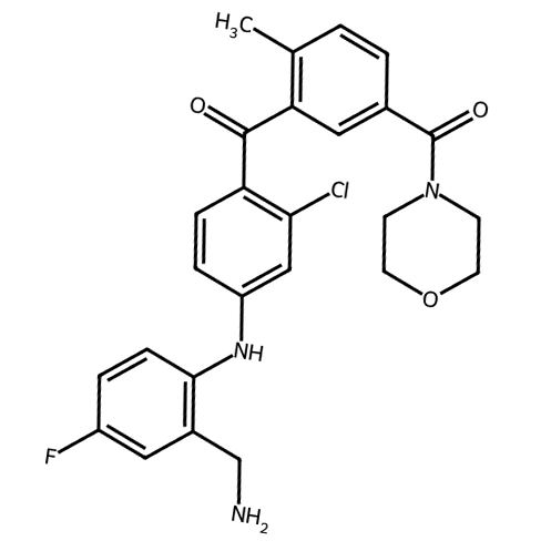 Cc1ccc(C(=O)N2CCOCC2)cc1C(=O)c1ccc(Nc2ccc(F)cc2CN)cc1Cl